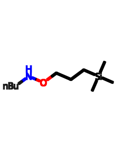 CCCCNOCCC[Si](C)(C)C